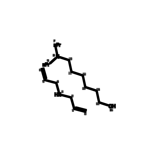 C=CCNCC=C.CCCN(CCC)CCCCCCO